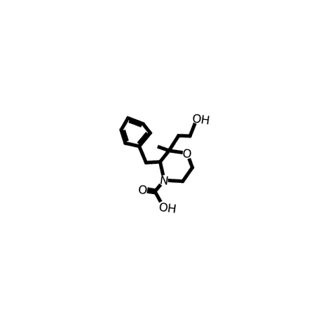 CC1(CCO)OCCN(C(=O)O)C1Cc1ccccc1